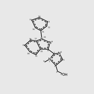 Cn1c(CO)cnc1-c1nn(-c2ccccc2)c2ccccc12